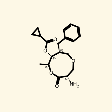 C[C@@H]1OC(=O)[C@@H](N)COC[C@H](Cc2ccccc2)[C@H]1OC(=O)C1CC1